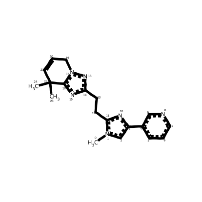 Cn1cc(-c2cccnc2)nc1CCc1nc2n(n1)CC=CC2(C)C